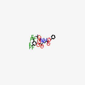 CC(C)(C)OC(=O)N[C@@H](CCC(=O)OCc1ccccc1)C(=O)COc1cc(C(F)(F)F)cc(C(F)(F)F)c1